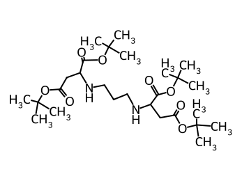 CC(C)(C)OC(=O)CC(NCCCNC(CC(=O)OC(C)(C)C)C(=O)OC(C)(C)C)C(=O)OC(C)(C)C